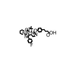 CC(C)(C)OC(=O)n1c(N2CCCCC2)nc(-c2ccc(F)cc2)c1-c1ccnc(Oc2ccc(CCCC(=O)O)cc2)n1